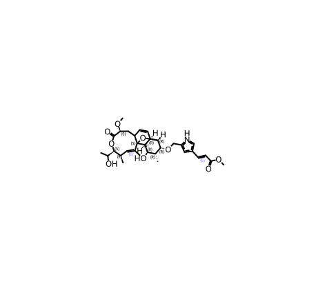 COC(=O)/C=C/c1c[nH]c(CO[C@@H]2[C@H](C)[C@@H](O)[C@@H]3[C@H]4C=CC5C[C@H](OC)C(=O)O[C@H](C(C)O)[C@H](C)/C=C(\C)[C@]53O[C@H]42)c1